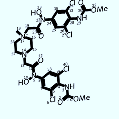 COC(=O)Nc1c(Cl)cc(N(O)C(=O)CN2CC[N+](C)(CC(=O)N(O)c3cc(Cl)c(NC(=O)OC)c(Cl)c3)CC2)cc1Cl